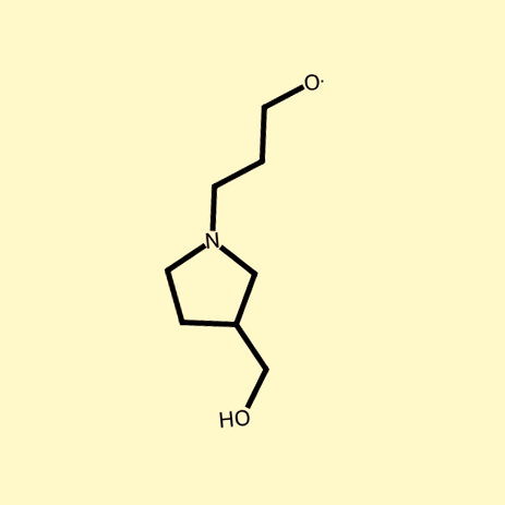 [O]CCCN1CCC(CO)C1